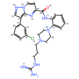 N=C(N)NCCCN1CCN(c2ccccc2NC(=O)c2ccn3ncc(-c4cccc(Cl)c4)c3n2)CC1